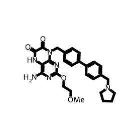 COCCOc1nc(N)c2[nH]c(=O)c(=O)n(Cc3ccc(-c4ccc(CN5CCCC5)cc4)cc3)c2n1